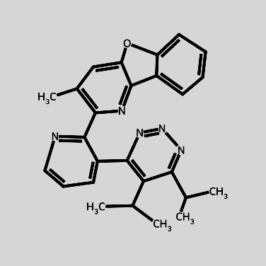 Cc1cc2oc3ccccc3c2nc1-c1ncccc1-c1nnnc(C(C)C)c1C(C)C